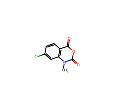 Cn1c(=O)oc(=O)c2ccc(Cl)cc21